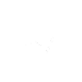 CC1Cn2ncc(N3CC(c4ccccc4)NC3=O)c2CN1C(=O)OC(C)(C)C